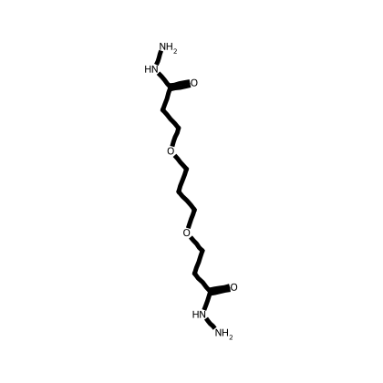 NNC(=O)CCOCCCOCCC(=O)NN